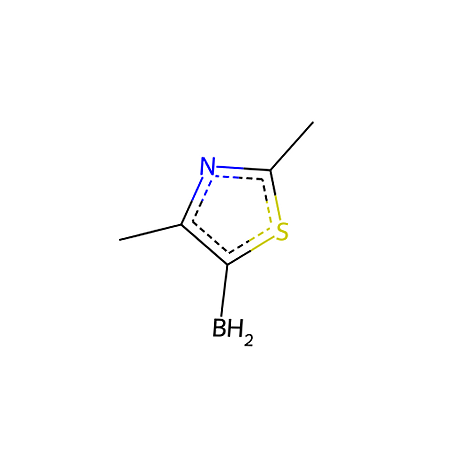 Bc1sc(C)nc1C